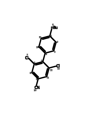 CCCCc1ccc(-c2c(Cl)cc(C#N)cc2Cl)cc1